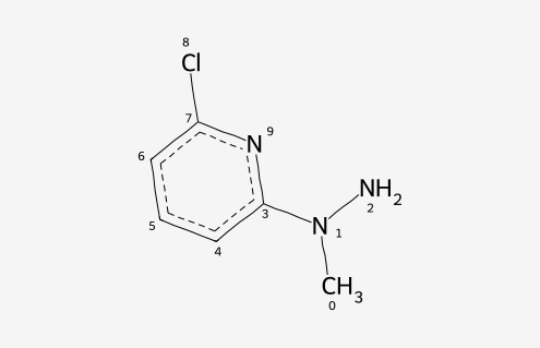 CN(N)c1cccc(Cl)n1